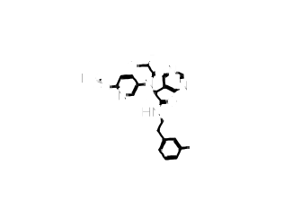 C[C@@](C(=O)NCCc1cccc(F)c1)(c1cncnc1)N(C(=O)[C@H](F)Cl)c1ccc(OC(F)(F)F)nc1